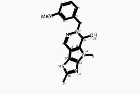 CNc1cccc(CN2N=Cc3c(n(C)c4nc(C)sc34)C2O)c1